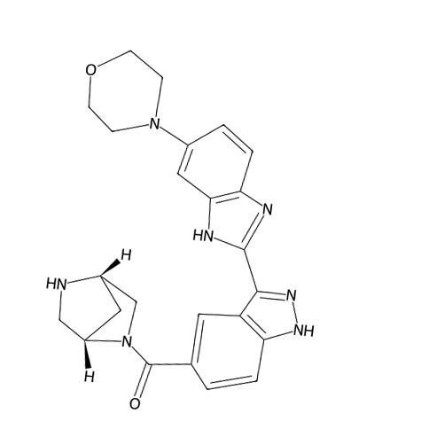 O=C(c1ccc2[nH]nc(-c3nc4ccc(N5CCOCC5)cc4[nH]3)c2c1)N1C[C@@H]2C[C@H]1CN2